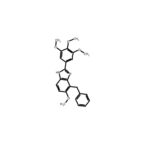 COc1cc(-c2nc3c(Cc4ccccc4)c(OC)ccc3[nH]2)cc(OC)c1OC